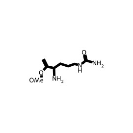 C=C(OOC)C(N)CCCNC(N)=O